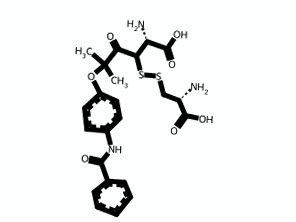 CC(C)(Oc1ccc(NC(=O)c2ccccc2)cc1)C(=O)C(SSC[C@H](N)C(=O)O)[C@H](N)C(=O)O